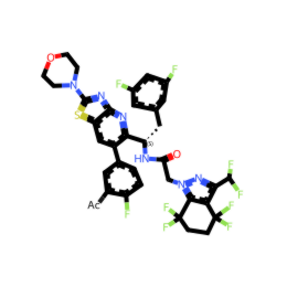 CC(=O)c1cc(-c2cc3sc(N4CCOCC4)nc3nc2[C@H](Cc2cc(F)cc(F)c2)NC(=O)Cn2nc(C(F)F)c3c2C(F)(F)CCC3(F)F)ccc1F